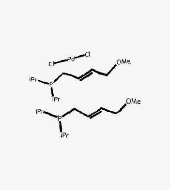 COCC=CCP(C(C)C)C(C)C.COCC=CCP(C(C)C)C(C)C.[Cl][Pd][Cl]